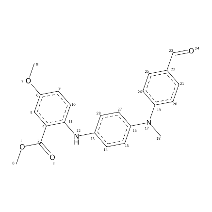 COC(=O)c1cc(OC)ccc1Nc1ccc(N(C)c2ccc(C=O)cc2)cc1